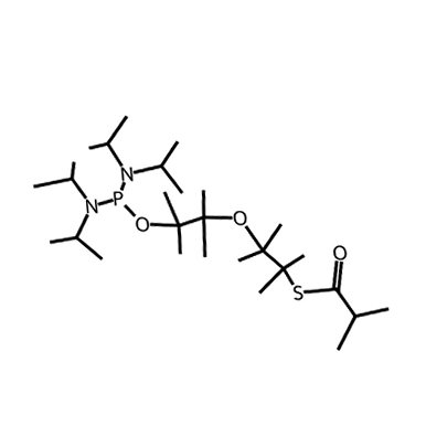 CC(C)C(=O)SC(C)(C)C(C)(C)OC(C)(C)C(C)(C)OP(N(C(C)C)C(C)C)N(C(C)C)C(C)C